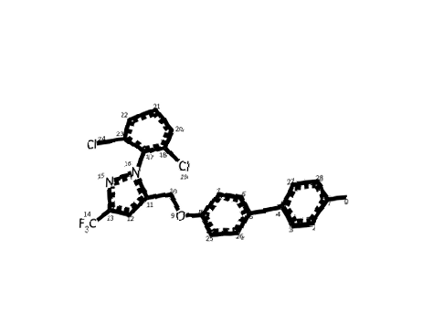 Cc1ccc(-c2ccc(OCc3cc(C(F)(F)F)nn3-c3c(Cl)cccc3Cl)cc2)cc1